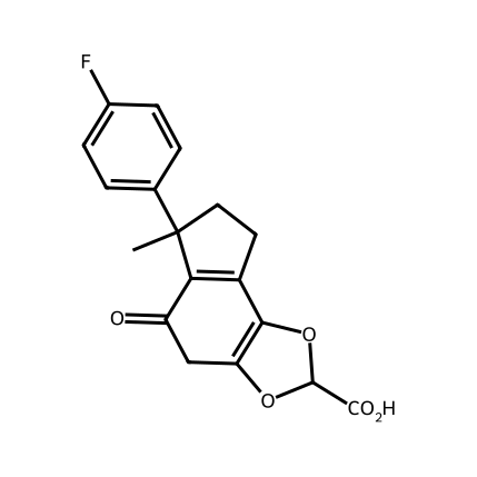 CC1(c2ccc(F)cc2)CCC2=C1C(=O)CC1=C2OC(C(=O)O)O1